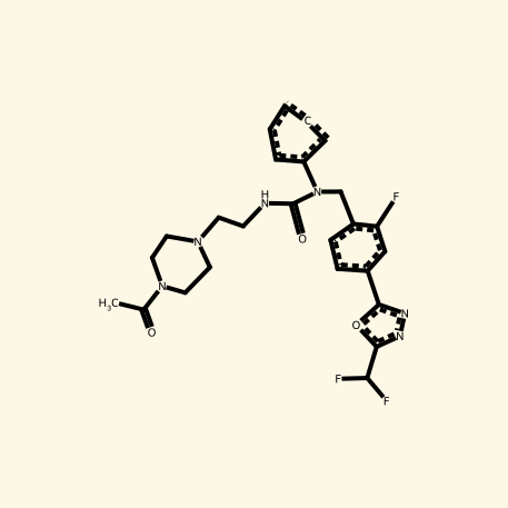 CC(=O)N1CCN(CCNC(=O)N(Cc2ccc(-c3nnc(C(F)F)o3)cc2F)c2ccccc2)CC1